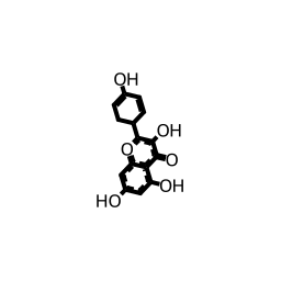 O=c1c(O)c(C2C=CC(O)=CC2)oc2cc(O)cc(O)c12